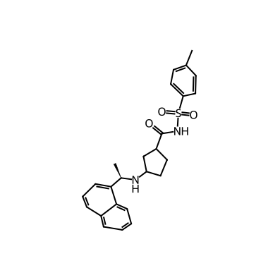 Cc1ccc(S(=O)(=O)NC(=O)C2CCC(N[C@H](C)c3cccc4ccccc34)C2)cc1